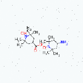 CC1(C)CC(C(=O)OON2C(C)(C)CC(N)CC2(C)C)CC(C)(C)N1O